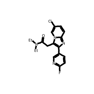 CCN(CC)C(=O)Cc1c(-c2ccc(F)nc2)nc2ccc(Cl)cn12